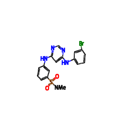 CNS(=O)(=O)c1cccc(Nc2cc(Nc3cccc(Br)c3)ncn2)c1